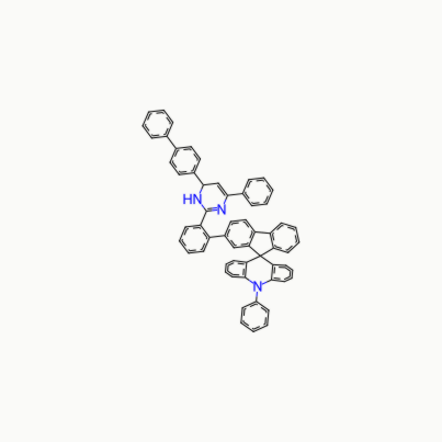 C1=C(c2ccccc2)N=C(c2ccccc2-c2ccc3c(c2)C2(c4ccccc4-3)c3ccccc3N(c3ccccc3)c3ccccc32)NC1c1ccc(-c2ccccc2)cc1